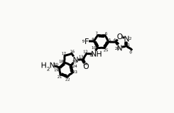 Cc1noc(-c2ccc(F)c(NCC(=O)N3CCc4c(N)cccc43)c2)n1